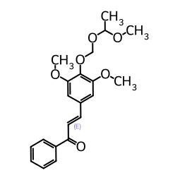 COc1cc(/C=C/C(=O)c2ccccc2)cc(OC)c1OCOC(C)OC